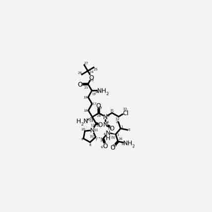 CC(C)[C@H](NC(=O)[C@@H]1CCCN1C(=O)[C@@](N)(CCCC(N)C(=O)OC(C)(C)C)C(=O)N(CCCl)N=O)C(N)=O